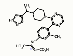 Cc1cc(C#N)ccc1-c1nccnc1N1CCN(C(C)c2cn[nH]c2)CC1.O=C(O)/C=C/C(=O)O